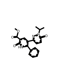 COC(=O)c1cc(-c2ccc(=O)n(C(C)C)n2)c(-c2ccccc2)[nH]c1=O